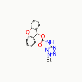 CCn1nnc(NC(=O)OC2c3ccccc3Oc3ccccc32)n1